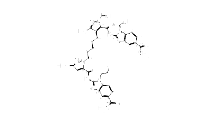 CCCn1c(NC(=O)c2cc(C)nn2CCCCCc2c(C)nn(CC)c2C(=O)Nc2nc3cc(C(N)=O)ccc3n2CC)nc2cc(C(N)=O)ccc21